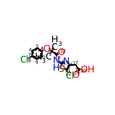 CC(C)(Oc1ccc(Cl)cc1)C(=O)Nc1nc(CC(=O)O)c(Cl)s1